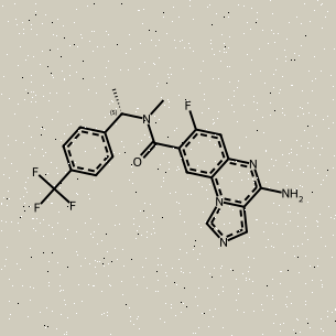 C[C@@H](c1ccc(C(F)(F)F)cc1)N(C)C(=O)c1cc2c(cc1F)nc(N)c1cncn12